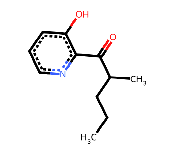 CCCC(C)C(=O)c1ncccc1O